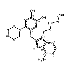 CC(C)(C)CNCCn1c(Sc2cc(O)c(O)cc2N2CCCCC2)nc2c(N)nccc21